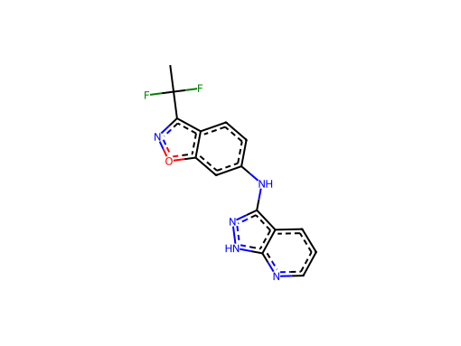 CC(F)(F)c1noc2cc(Nc3n[nH]c4ncccc34)ccc12